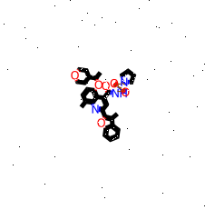 Cc1c(-c2cc(C(=O)NS(=O)(=O)N3CCCC3)c3c(OC(C)C4CCOCC4)ccc(C)c3n2)oc2ccccc12